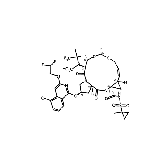 C[C@@H]1CCC=C[C@@H]2C[C@@]2(C(=O)NS(=O)(=O)C2(C)CC2)NC(=O)[C@@H]2C[C@@H](Oc3nc(OCC(F)F)cc4c(Cl)cccc34)CN2C(=O)[C@@H](N(C(=O)O)C(C)(C)C(F)(F)F)[C@H](C)C1